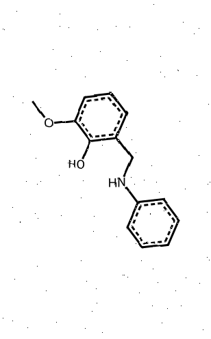 COc1cccc(CNc2ccccc2)c1O